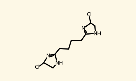 ClC1CNC(CCCCC2=NC(Cl)CN2)=N1